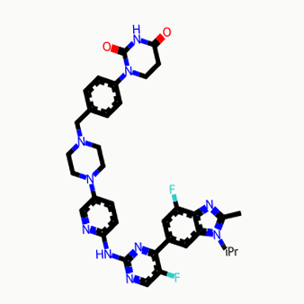 Cc1nc2c(F)cc(-c3nc(Nc4ccc(N5CCN(Cc6ccc(N7CCC(=O)NC7=O)cc6)CC5)cn4)ncc3F)cc2n1C(C)C